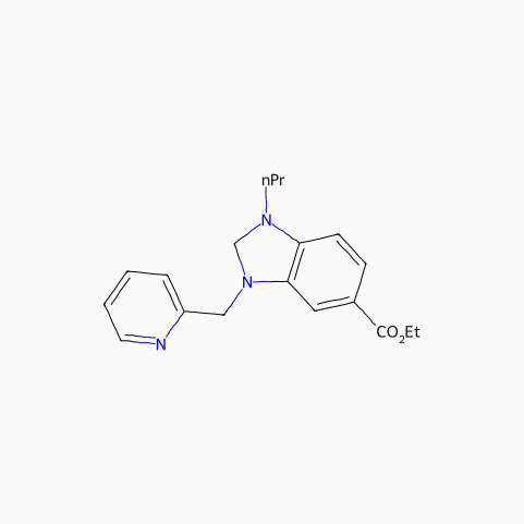 CCCN1CN(Cc2ccccn2)c2cc(C(=O)OCC)ccc21